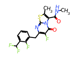 CNC(=O)c1c(C)sc2nc(Cc3cccc(C(F)F)c3F)c(F)c(=O)n12